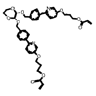 C=CC(=O)OCCCOc1ccc(-c2ccc(CO[C@H]3OCCO[C@@H]3OCc3ccc(-c4ccc(OCCCOC(=O)C=C)cn4)cc3)cc2)nc1